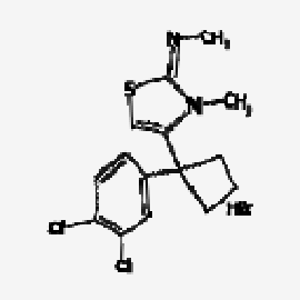 Br.CN=c1scc(C2(c3ccc(Cl)c(Cl)c3)CCC2)n1C